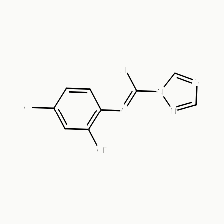 FC(F)(F)c1cc(Cl)ccc1/N=C(\Cl)n1cncn1